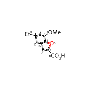 CCc1cc(OC)c2oc(C(=O)O)cc2c1